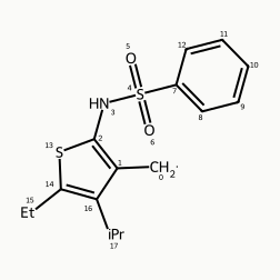 [CH2]c1c(NS(=O)(=O)c2ccccc2)sc(CC)c1C(C)C